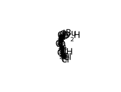 CC(C)(C)OC(=O)N1Cc2cc3c(cc2CC1C(=O)O)OCC(c1ccc(NC(=O)c2ccc(Cl)c(Cl)c2)cc1)O3